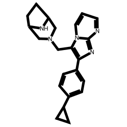 c1cnc2nc(-c3ccc(C4CC4)cc3)c(CN3CC4CCC(C3)N4)n2c1